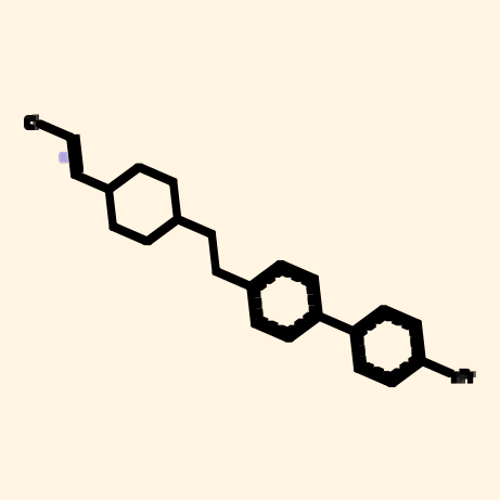 CCCc1ccc(-c2ccc(CCC3CCC(/C=C/Cl)CC3)cc2)cc1